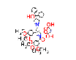 COc1ccc(C2(CCN3CCC(C(O)(c4ccccc4)c4ccccc4)CC3)CCN(C(=O)c3cc(OC)c(OC)c(OC)c3)C2)cc1OC.O=C(O)/C=C\C(=O)O